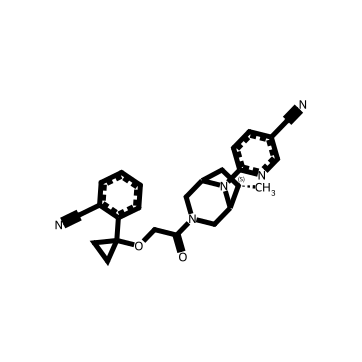 C[C@H]1CC2CN(C(=O)COC3(c4ccccc4C#N)CC3)CC1N2c1ccc(C#N)cn1